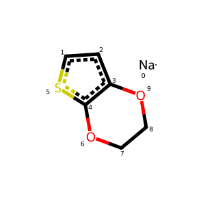 [Na].c1cc2c(s1)OCCO2